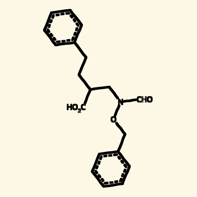 O=CN(CC(CCc1ccccc1)C(=O)O)OCc1ccccc1